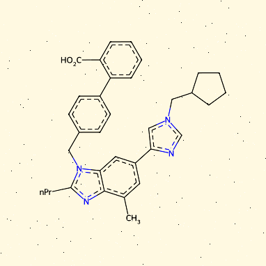 CCCc1nc2c(C)cc(-c3cn(CC4CCCC4)cn3)cc2n1Cc1ccc(-c2ccccc2C(=O)O)cc1